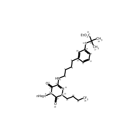 CCCCCCCn1c(=O)c(NCCCCc2cccc(SC(C)(C)C(=O)OCC)c2)nn(CCCC(F)(F)F)c1=O